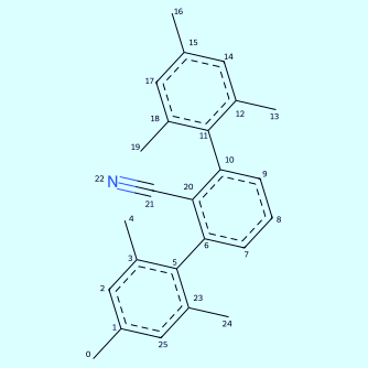 Cc1cc(C)c(-c2cccc(-c3c(C)cc(C)cc3C)c2C#N)c(C)c1